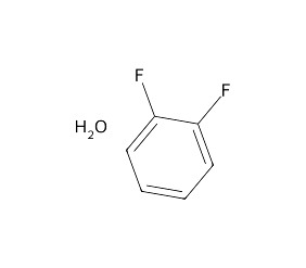 Fc1ccccc1F.O